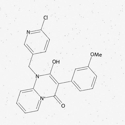 COc1cccc(-c2c(O)n(Cc3ccc(Cl)nc3)c3cccc[n+]3c2=O)c1